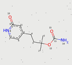 CC(C)(CCc1cc[nH]c(=O)c1)OC(N)=O